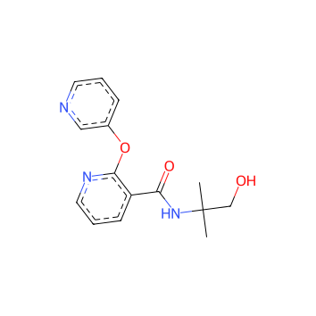 CC(C)(CO)NC(=O)c1cccnc1Oc1cccnc1